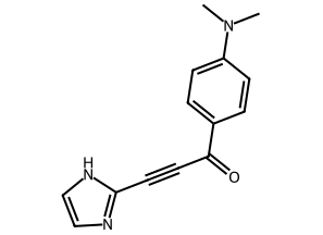 CN(C)c1ccc(C(=O)C#Cc2ncc[nH]2)cc1